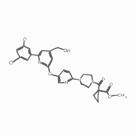 COC(=O)C1(C(=O)N2CCN(c3ccc(Oc4cc(CO)cc(-c5cc(Cl)cc(Cl)c5)n4)cn3)CC2)CC1